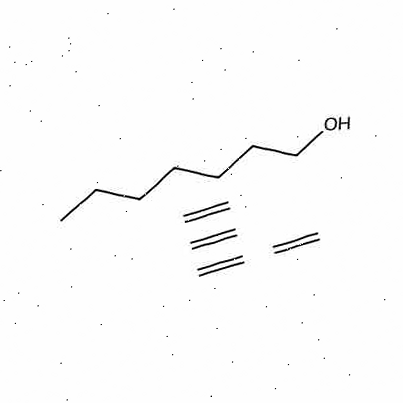 C=C.C=C.C=C.C=C.CCCCCCCO